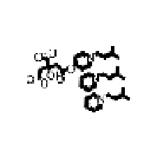 CC(C)=CC[n+]1ccccc1.CC(C)=CC[n+]1ccccc1.CC(C)=CC[n+]1ccccc1.O=C([O-])CC(O)(CC(=O)[O-])C(=O)[O-]